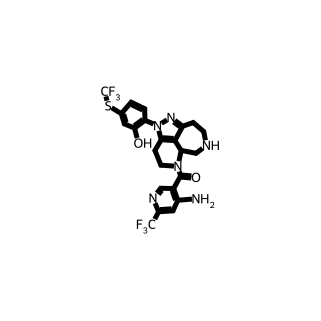 Nc1cc(C(F)(F)F)ncc1C(=O)N1CCc2c3c(nn2-c2ccc(SC(F)(F)F)cc2O)CCNCC31